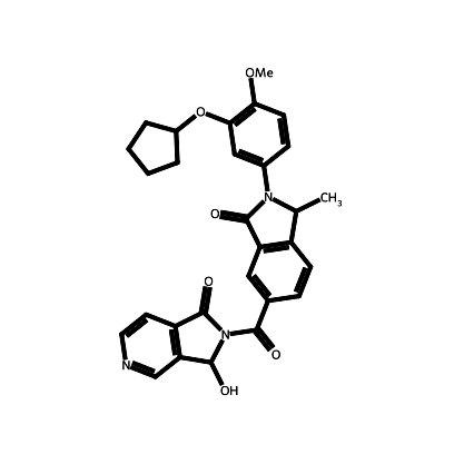 COc1ccc(N2C(=O)c3cc(C(=O)N4C(=O)c5ccncc5C4O)ccc3C2C)cc1OC1CCCC1